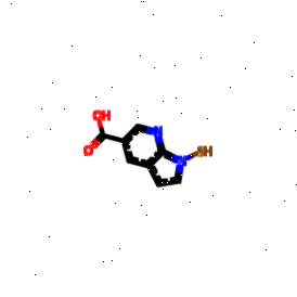 O=C(O)c1cnc2c(ccn2S)c1